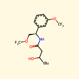 CC(C)(C)C(O)CC(=O)N[C@@H](COC(F)(F)F)c1cccc(OC(F)(F)F)c1